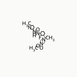 COC(=O)N1CCN([C@H](C)c2cccc(NC(=O)Nc3ccc(C)nc3)c2F)CC1